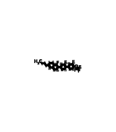 CCCCc1ccc2c(F)c(-c3ccc(-c4ccc(OC(F)(F)F)c(F)c4)c(F)c3)ccc2c1